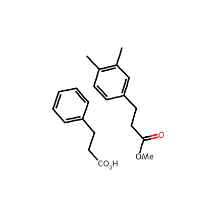 COC(=O)CCc1ccc(C)c(C)c1.O=C(O)CCc1ccccc1